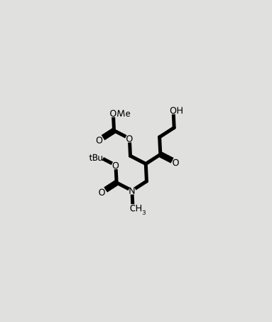 COC(=O)OCC(CN(C)C(=O)OC(C)(C)C)C(=O)CCO